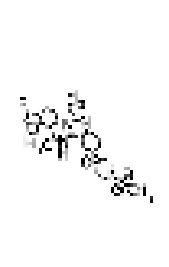 Cc1nc(N[C@H](C)c2cccc3c(F)coc23)c2cc(P3(=O)CCN(S(C)(=O)=O)CC3)ccc2n1